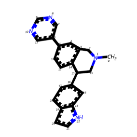 CN1Cc2cc(-c3cncnc3)ccc2C(c2ccc3cc[nH]c3c2)C1